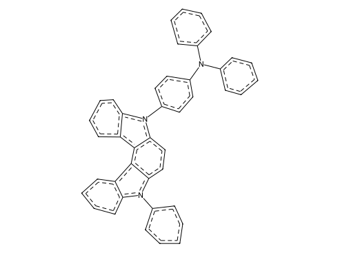 c1ccc(N(c2ccccc2)c2ccc(-n3c4ccccc4c4c5c6ccccc6n(-c6ccccc6)c5ccc43)cc2)cc1